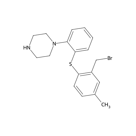 Cc1ccc(Sc2ccccc2N2CCNCC2)c(CBr)c1